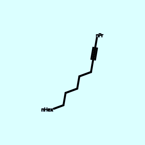 [CH2]CCC#CCCCCCCCCCC[CH2]